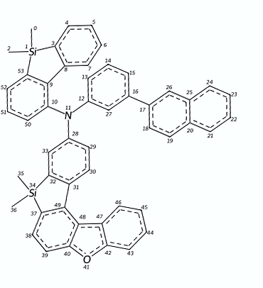 C[Si]1(C)c2ccccc2-c2c(N(c3cccc(-c4ccc5ccccc5c4)c3)c3ccc4c(c3)[Si](C)(C)c3ccc5oc6ccccc6c5c3-4)cccc21